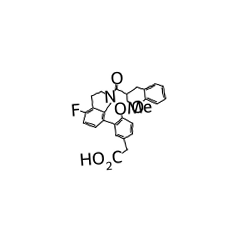 COc1ccc(CC(=O)O)cc1-c1ccc(F)c2c1CN(C(=O)C1COc3ccccc3C1)CC2